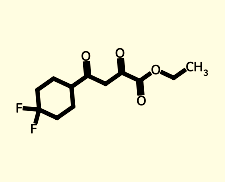 CCOC(=O)C(=O)CC(=O)C1CCC(F)(F)CC1